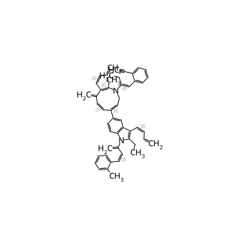 C#Cc1ccccc1/C=C(\CC)N1C/C=C(c2ccc3c(c2)c(/C=C\C=C)c(CC)n3C(=C)/C=C\c2ccccc2C)\C=C/C(=C)C(/C=C\C=C)=C\1C